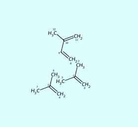 C=C(C)C.C=C(C)C.C=CC(=C)C